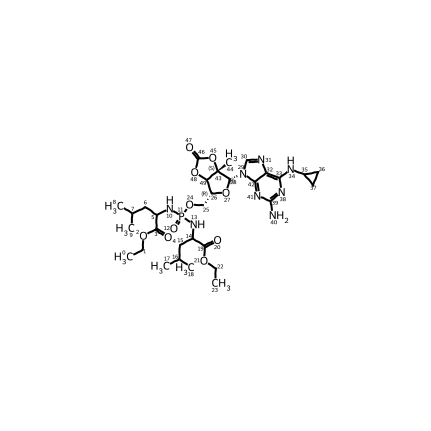 CCOC(=O)C(CC(C)C)NP(=O)(NC(CC(C)C)C(=O)OCC)OC[C@H]1O[C@@H](n2cnc3c(NC4CC4)nc(N)nc32)[C@@]2(C)OC(=O)OC12